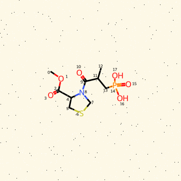 COC(=O)C1CSCN1C(=O)C(C)CP(=O)(O)O